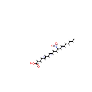 CCCCC/C=C/CC(CC/C=C/C/C=C/CCCC(=O)O)[N+](=O)[O-]